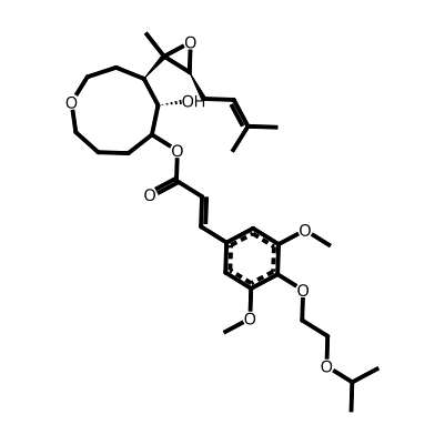 COc1cc(/C=C/C(=O)OC2CCCOCC[C@@H](C3(C)O[C@H]3CC=C(C)C)[C@@H]2O)cc(OC)c1OCCOC(C)C